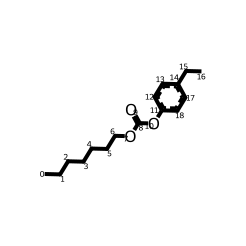 CCCCCCCOC(=O)Oc1ccc(CC)cc1